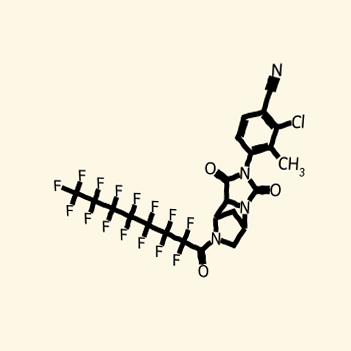 Cc1c(N2C(=O)C3C4CC(CN4C(=O)C(F)(F)C(F)(F)C(F)(F)C(F)(F)C(F)(F)C(F)(F)C(F)(F)F)N3C2=O)ccc(C#N)c1Cl